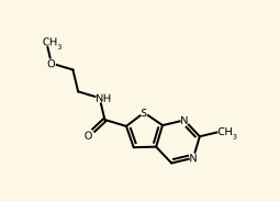 COCCNC(=O)c1cc2cnc(C)nc2s1